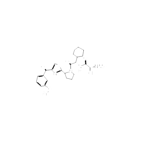 CN[C@@H](C)C(=O)N[C@H](C(=O)N1CCCC1c1nc(C(=O)c2cccc(OC(C)C)c2)cs1)C1CCCCC1